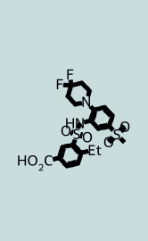 CCc1ccc(C(=O)O)cc1S(=O)(=O)Nc1cc(S(C)(=O)=O)ccc1N1CCC(F)(F)CC1